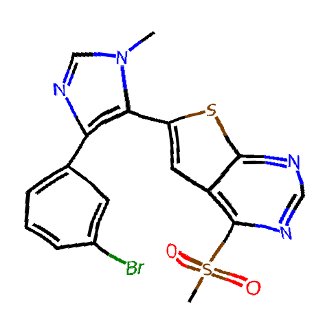 Cn1cnc(-c2cccc(Br)c2)c1-c1cc2c(S(C)(=O)=O)ncnc2s1